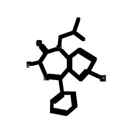 CC(C)CN1C(=O)C(F)N=C(c2ccccc2)c2cc(Cl)ccc21